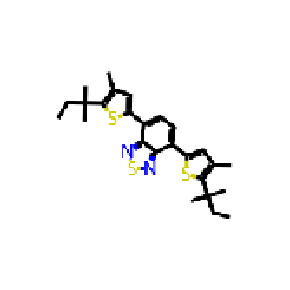 CCC(C)(C)c1sc(-c2ccc(-c3cc(C)c(C(C)(C)CC)s3)c3nsnc23)cc1C